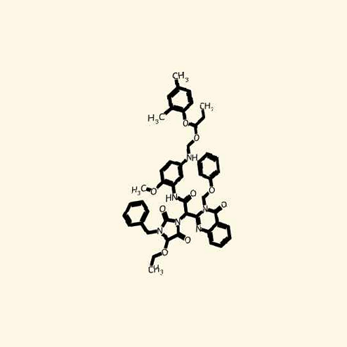 CCOC1C(=O)N(C(C(=O)Nc2cc(NCOC(CC)Oc3ccc(C)cc3C)ccc2OC)c2nc3ccccc3c(=O)n2COc2ccccc2)C(=O)N1Cc1ccccc1